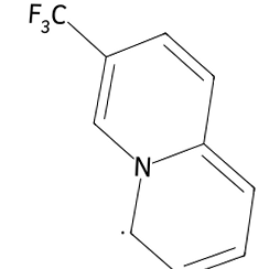 FC(F)(F)C1=CN2[CH]C=CC=C2C=C1